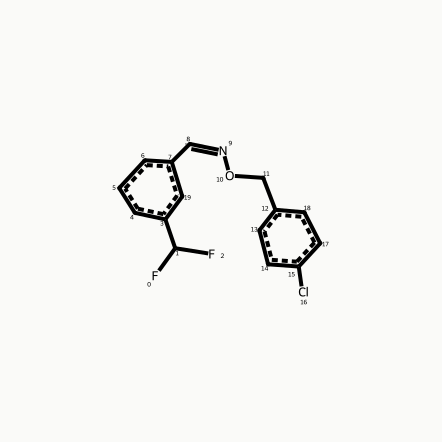 FC(F)c1cccc(/[C]=N\OCc2ccc(Cl)cc2)c1